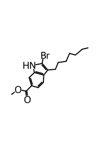 CCCCCCCc1c(Br)[nH]c2cc(C(=O)OC)ccc12